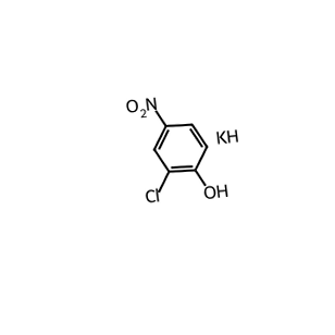 O=[N+]([O-])c1ccc(O)c(Cl)c1.[KH]